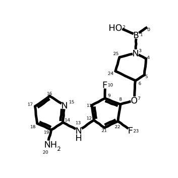 CB(O)N1CCC(Oc2c(F)cc(Nc3ncccc3N)cc2F)CC1